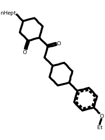 CCCCCCCC1CCC(C(=O)CC2CCC(c3ccc(OCC)cc3)CC2)C(=O)C1